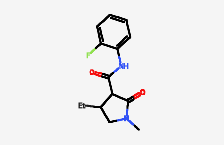 CCC1CN(C)C(=O)C1C(=O)Nc1ccccc1F